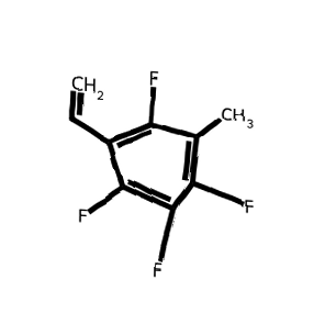 C=Cc1c(F)c(C)c(F)c(F)c1F